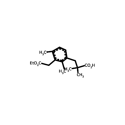 CCOC(=O)Cc1c(C)ccc(CC(C)(C)C(=O)O)c1C